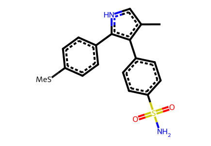 CSc1ccc(-c2[nH]cc(C)c2-c2ccc(S(N)(=O)=O)cc2)cc1